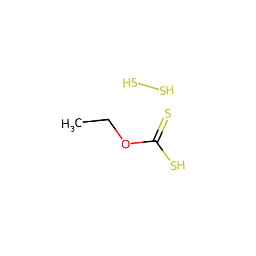 CCOC(=S)S.SS